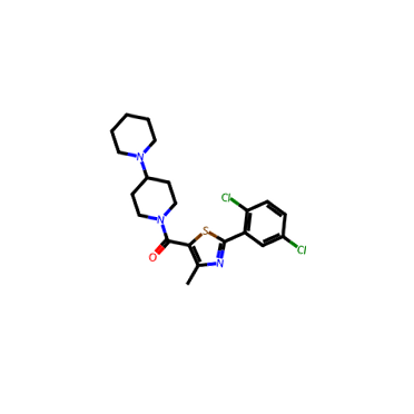 Cc1nc(-c2cc(Cl)ccc2Cl)sc1C(=O)N1CCC(N2CCCCC2)CC1